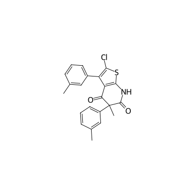 Cc1cccc(-c2c(Cl)sc3c2C(=O)C(C)(c2cccc(C)c2)C(=O)N3)c1